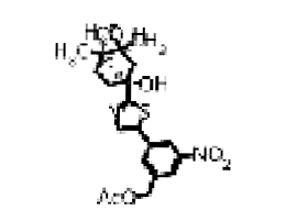 CC(=O)OCc1cc(-c2cnc([C@@]3(O)CC[C@](C)(C(=O)O)C(C)(C)C3)s2)cc([N+](=O)[O-])c1